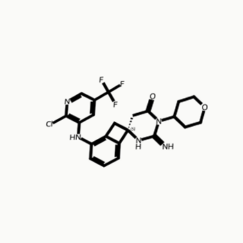 N=C1N[C@]2(CC(=O)N1C1CCOCC1)Cc1c(Nc3cc(C(F)(F)F)cnc3Cl)cccc12